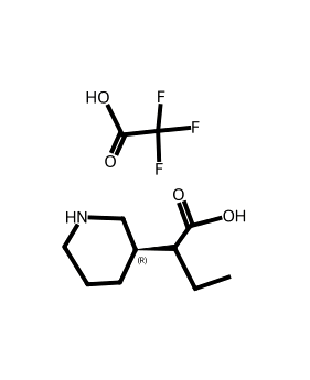 CCC(C(=O)O)[C@H]1CCCNC1.O=C(O)C(F)(F)F